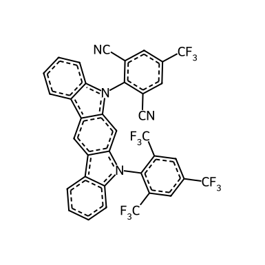 N#Cc1cc(C(F)(F)F)cc(C#N)c1-n1c2ccccc2c2cc3c4ccccc4n(-c4c(C(F)(F)F)cc(C(F)(F)F)cc4C(F)(F)F)c3cc21